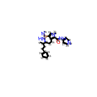 C/N=S1/NC(C(C)CCc2ccccc2)CCc2c1cn(C)c2C(=O)Nc1ccncc1